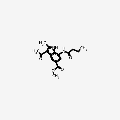 CCCC(=O)Nc1cc(C(=O)OC)cc2c(C(C)=O)c(C)[nH]c12